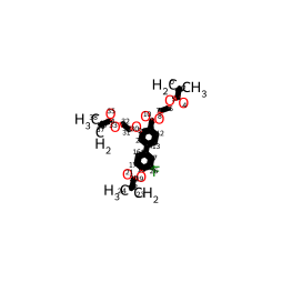 C=C(C)C(=O)OCCOC(=O)c1ccc(-c2ccc(OC(=O)C(=C)C)c(F)c2)cc1OCCOC(=O)C(=C)C